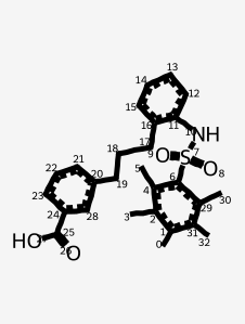 Cc1c(C)c(C)c(S(=O)(=O)Nc2ccccc2CCCc2cccc(C(=O)O)c2)c(C)c1C